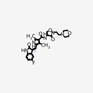 Cc1[nH]c(/C=C2\C(=O)Nc3ccc(F)cc32)c(C)c1C(=O)N[C@@H]1CON(CCN2CCOCC2)C1=O